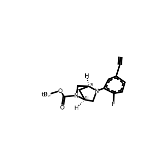 C#Cc1ccc(F)c(N2C[C@@H]3C[C@H]2CN3C(=O)OC(C)(C)C)c1